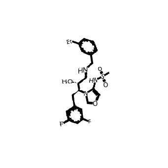 CCc1cccc(CNC[C@@H](O)[C@H](Cc2cc(F)cc(F)c2)N2COC=C2NS(C)(=O)=O)c1